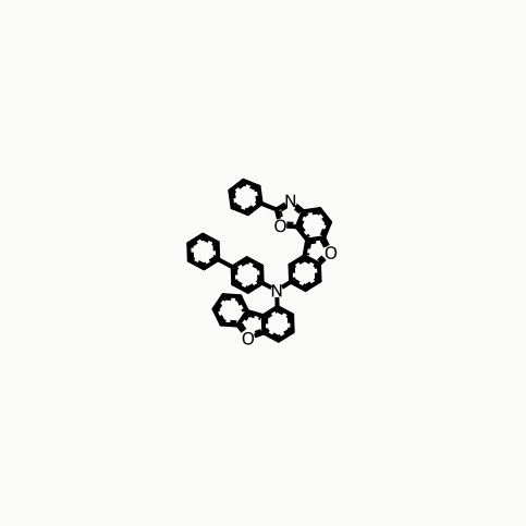 c1ccc(-c2ccc(N(c3ccc4oc5ccc6nc(-c7ccccc7)oc6c5c4c3)c3cccc4oc5ccccc5c34)cc2)cc1